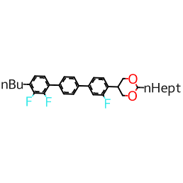 CCCCCCCC1OCC(c2ccc(-c3ccc(-c4ccc(CCCC)c(F)c4F)cc3)cc2F)CO1